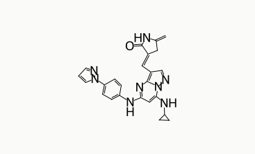 C=C1C/C(=C\c2cnn3c(NC4CC4)cc(Nc4ccc(-n5cccn5)cc4)nc23)C(=O)N1